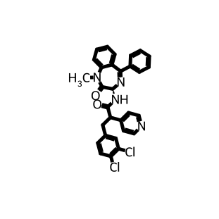 CN1C(=O)[C@@H](NC(=O)C(Cc2ccc(Cl)c(Cl)c2)c2ccncc2)N=C(c2ccccc2)c2ccccc21